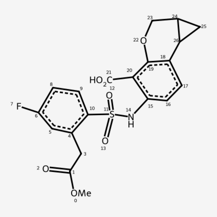 COC(=O)Cc1cc(F)ccc1S(=O)(=O)Nc1ccc2c(c1C(=O)O)OCC1CC21